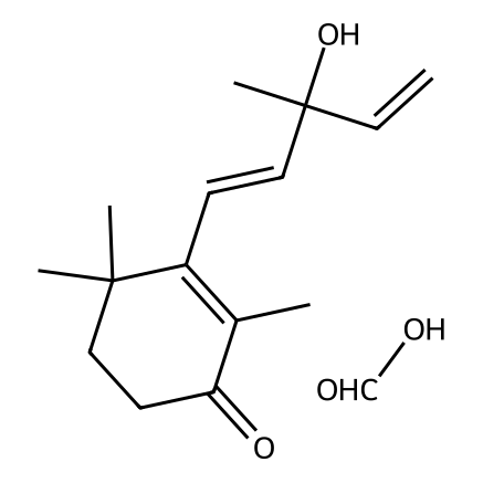 C=CC(C)(O)/C=C/C1=C(C)C(=O)CCC1(C)C.O=CO